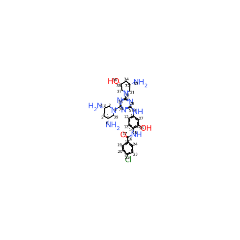 N[C@@H]1C[C@H](N)CN(c2nc(Nc3ccc(NC(=O)c4ccc(Cl)cc4)c(O)c3)nc(N3C[C@@H](N)C[C@@H](O)C3)n2)C1